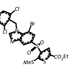 CCOC(=O)c1cc(S(=O)(=O)c2cc(Br)c3c(c2)ncn3Cc2c(Cl)cccc2Cl)c(SC)s1